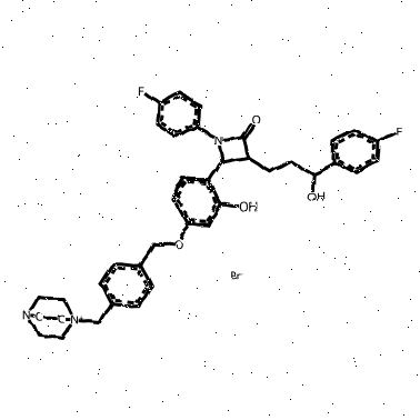 O=C1C(CCC(O)c2ccc(F)cc2)C(c2ccc(OCc3ccc(C[N+]45CCN(CC4)CC5)cc3)cc2O)N1c1ccc(F)cc1.[Br-]